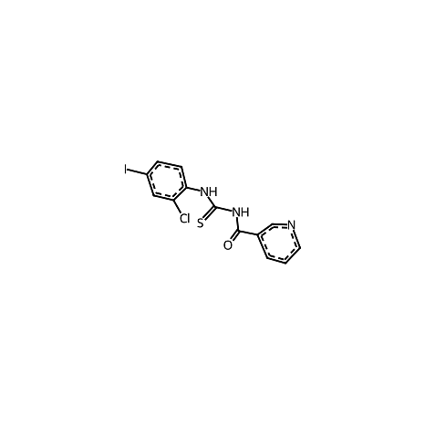 O=C(NC(=S)Nc1ccc(I)cc1Cl)c1cccnc1